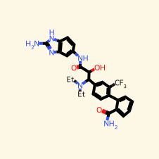 CCN(CC)C(c1ccc(-c2ccccc2C(N)=O)c(C(F)(F)F)c1)C(O)C(=O)Nc1ccc2[nH]c(N)nc2c1